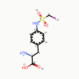 N[C@@H](Cc1ccc(NS(=O)(=O)CI)cc1)C(=O)O